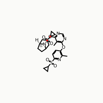 Cc1nc(S(=O)(=O)C2CC2)ccc1Oc1ncnc(O[C@H]2CC3CC[C@@H](C2)N3S(=O)(=O)C2CC2)c1C